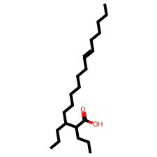 CCCCC/C=C/CCCCCCC(CCC)C(CCC)C(=O)O